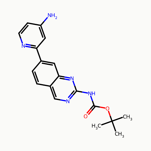 CC(C)(C)OC(=O)Nc1ncc2ccc(-c3cc(N)ccn3)cc2n1